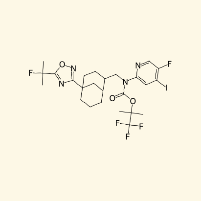 CC(C)(F)c1nc(C23CCCC(C2)C(CN(C(=O)OC(C)(C)C(F)(F)F)c2cc(I)c(F)cn2)CC3)no1